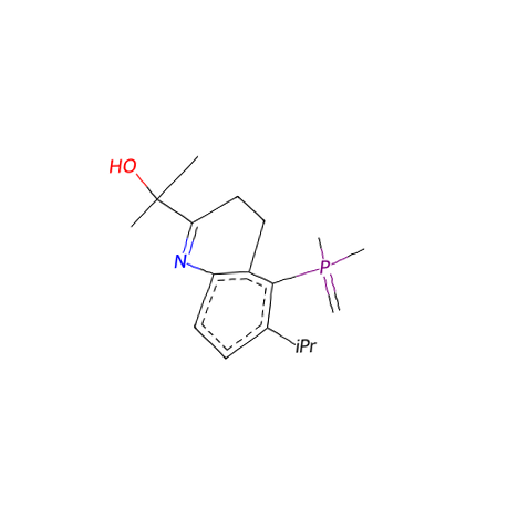 C=P(C)(C)c1c(C(C)C)ccc2c1CCC(C(C)(C)O)=N2